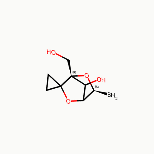 B[C@@H]1O[C@]2(CO)C(O)C1OC21CC1